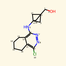 OCC12CC(Nc3nnc(Cl)c4c3CCCC4)(C1)C2